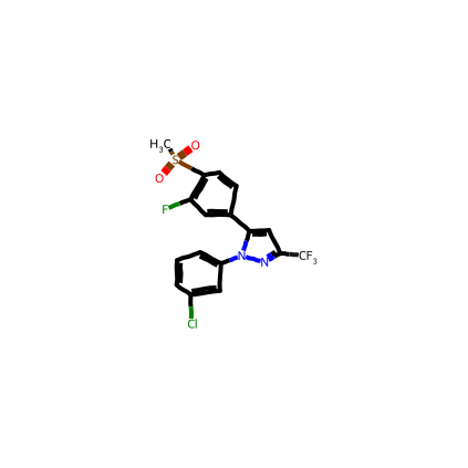 CS(=O)(=O)c1ccc(-c2cc(C(F)(F)F)nn2-c2cccc(Cl)c2)cc1F